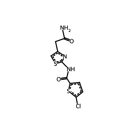 NC(=O)Cc1csc(NC(=O)c2ccc(Cl)s2)n1